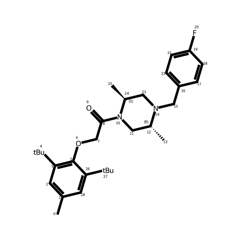 Cc1cc(C(C)(C)C)c(OCC(=O)N2C[C@@H](C)N(Cc3ccc(F)cc3)C[C@@H]2C)c(C(C)(C)C)c1